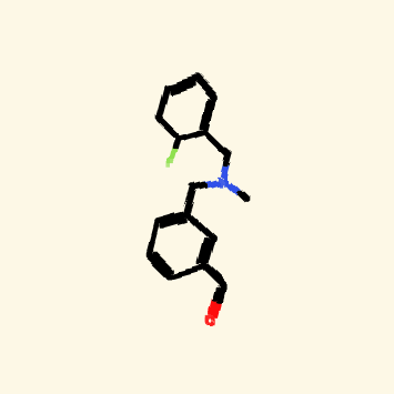 CN(CC1=CC=CCC1F)Cc1cccc(C=O)c1